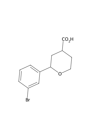 O=C(O)C1CCOC(c2cccc(Br)c2)C1